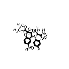 COC(OC)[C@@]1(C)Oc2ccc([N+](=O)[O-])cc2[C@@H](N(c2ccc(F)cc2)C(C)c2nnn[nH]2)[C@@H]1O